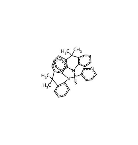 CC1(C)c2ccccc2N(P(=S)(c2cccnc2)N2c3ccccc3C(C)(C)c3ccccc32)c2ccccc21